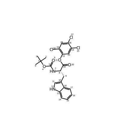 CC(C)(C)OC(=O)N[C@@H](Cc1c[nH]c2ccccc12)C(=O)Oc1cc(Cl)c(Cl)cc1Cl